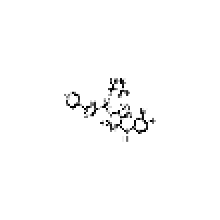 O=C(Nc1nonc1/C(=N\O)Nc1ccc(F)c(Br)c1)c1csc(-c2ccncc2)n1.O=C(O)C(F)(F)F